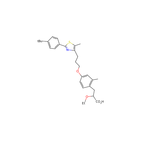 CCOC(Cc1ccc(OCCCc2nc(-c3ccc(C(C)(C)C)cc3)sc2C)cc1C)C(=O)O